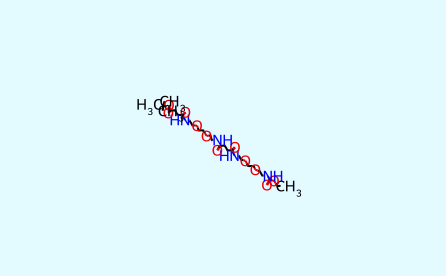 CCOC(=O)NCCOCCOCCNC(=O)CCC(=O)NCCOCCOCCNC(=O)CCC(=O)OC(C)(C)C